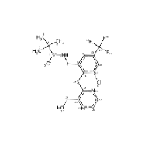 CC(C)(C)[S+]([O-])NCc1cc(C(F)(F)F)cc(Cl)c1Sc1nccnc1CO